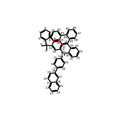 CC1(C)c2ccccc2-c2ccc(N(c3ccc(-c4ccc5ccccc5c4)cc3)c3ccccc3-c3cc4ccccc4c4ccccc34)cc21